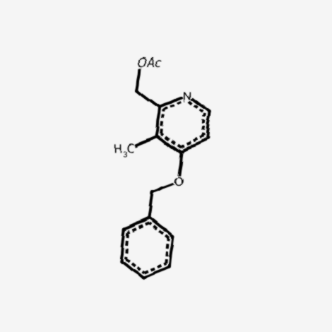 CC(=O)OCc1nccc(OCc2ccccc2)c1C